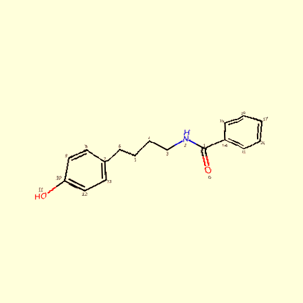 O=C(NCCCCc1ccc(O)cc1)c1ccccc1